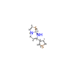 C1=CN2CC=C(c3ccsc3)NC2S1